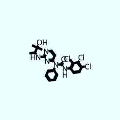 CC(Nc1nccc(N(C(=O)Nc2ccc(Cl)c(Cl)c2Cl)c2ccccc2)n1)C(C)(C)O